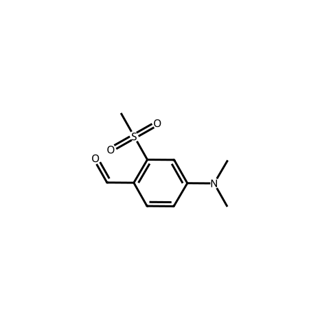 CN(C)c1ccc(C=O)c(S(C)(=O)=O)c1